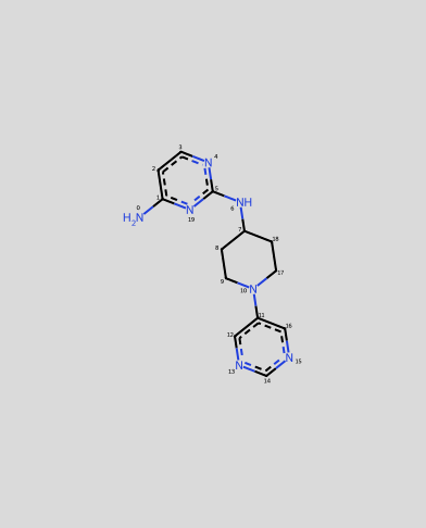 Nc1ccnc(NC2CCN(c3cncnc3)CC2)n1